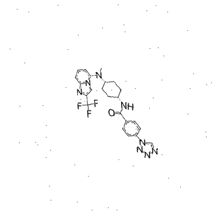 CN(c1cccc2nc(C(F)(F)F)cn12)[C@H]1CC[C@@H](NC(=O)c2ccc(-n3cnnn3)cc2)CC1